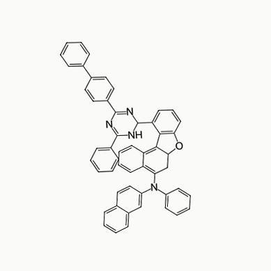 c1ccc(C2=NC(c3ccc(-c4ccccc4)cc3)=NC(c3cccc4c3C3=c5ccccc5=C(N(c5ccccc5)c5ccc6ccccc6c5)CC3O4)N2)cc1